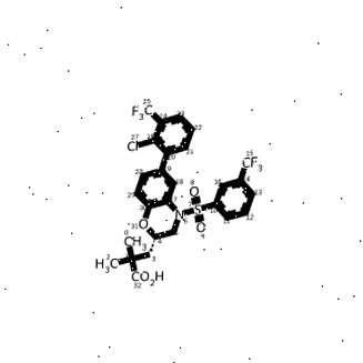 CC(C)(C[C@H]1CN(S(=O)(=O)c2cccc(C(F)(F)F)c2)c2cc(-c3cccc(C(F)(F)F)c3Cl)ccc2O1)C(=O)O